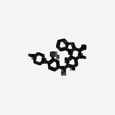 CN1CCN(c2ccc(Nc3ncc4c(n3)n3c(cc5ccccc53)c(=O)n4C)cc2C(F)(F)F)CC1